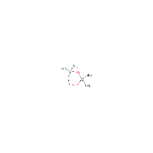 CCCCC1(C)OCCC(C)(C)O1